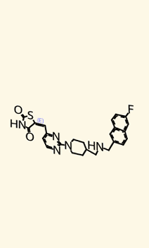 O=C1NC(=O)/C(=C\c2ccnc(N3CCC(CNCc4ccc5cc(F)ccc5c4)CC3)n2)S1